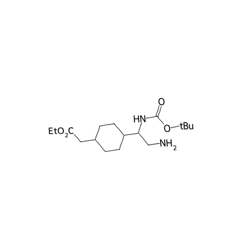 CCOC(=O)CC1CCC(C(CN)NC(=O)OC(C)(C)C)CC1